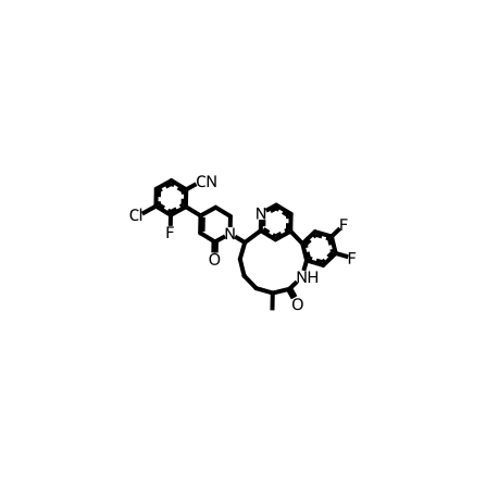 CC1CCCC(N2CCC(c3c(C#N)ccc(Cl)c3F)=CC2=O)c2cc(ccn2)-c2cc(F)c(F)cc2NC1=O